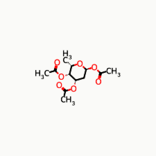 CC(=O)O[C@H]1C[C@H](OC(C)=O)[C@H](OC(C)=O)[C@H](C)O1